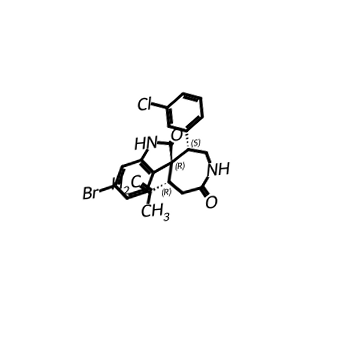 C=C(C)[C@H]1CC(=O)NC[C@@H](c2cccc(Cl)c2)[C@]12C(=O)Nc1cc(Br)ccc12